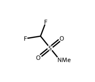 CNS(=O)(=O)C(F)F